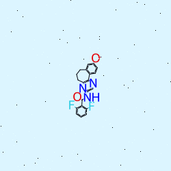 COc1ccc2c(c1)CCCc1nc(NC(=O)c3c(F)cccc3F)cnc1-2